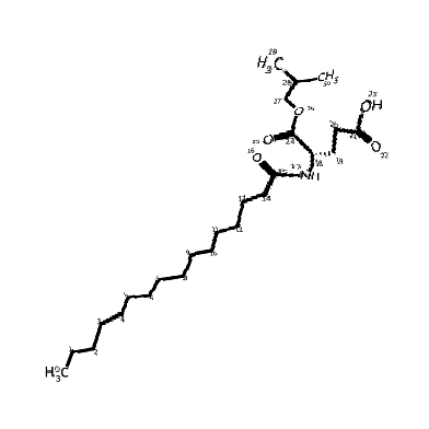 CCCCCCCCCCCCCCCC(=O)N[C@@H](CCC(=O)O)C(=O)OCC(C)C